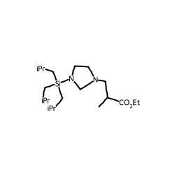 CCOC(=O)C(C)CN1CCN([Si](CC(C)C)(CC(C)C)CC(C)C)C1